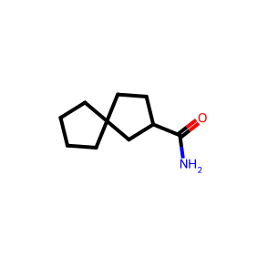 NC(=O)C1CCC2(CCCC2)C1